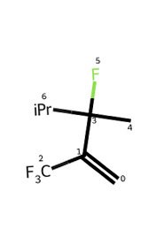 C=C(C(F)(F)F)C(C)(F)C(C)C